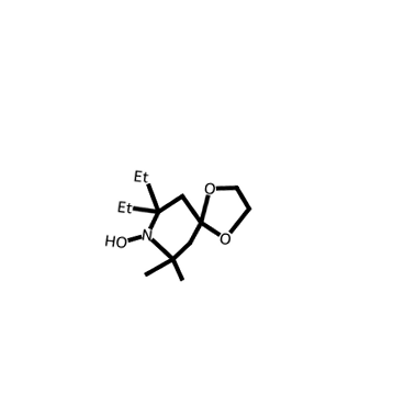 CCC1(CC)CC2(CC(C)(C)N1O)OCCO2